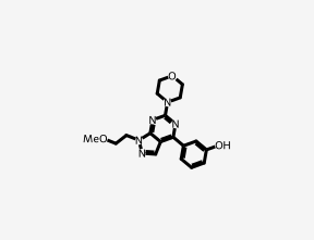 COCCn1ncc2c(-c3cccc(O)c3)nc(N3CCOCC3)nc21